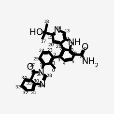 Cc1c(-c2ccc(C(N)=O)c3[nH]c4cnc(C(C)(C)O)cc4c23)cccc1-n1cnc2ccccc2c1=O